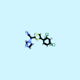 N#CC(C1SCC(c2ccc(Cl)cc2Cl)S1)n1ccnc1